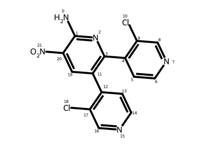 Nc1nc(-c2ccncc2Cl)c(-c2ccncc2Cl)cc1[N+](=O)[O-]